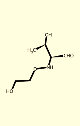 C[C@@H](O)[C@@H](C=O)NOCCO